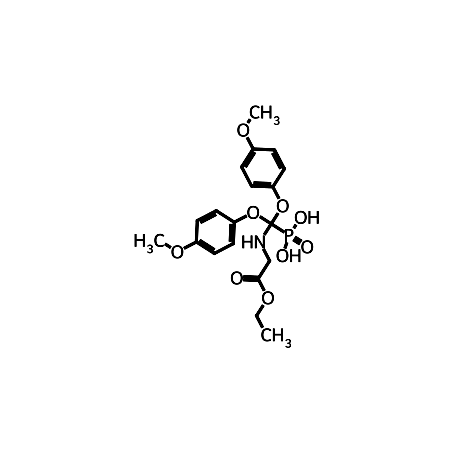 CCOC(=O)CNC(Oc1ccc(OC)cc1)(Oc1ccc(OC)cc1)P(=O)(O)O